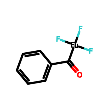 O=[C](c1ccccc1)[Eu]([F])([F])[F]